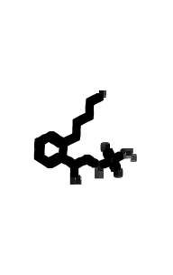 CCC(CNS(=O)(=O)C(F)(F)F)c1ccccc1CCCCF